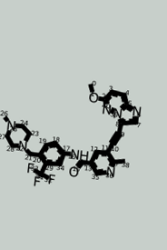 COc1ccc2ncc(C#Cc3cc(C(=O)Nc4ccc(CN5CCN(C)CC5)c(C(F)(F)F)c4)cnc3C)n2n1